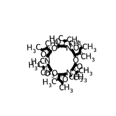 CC[C@@H](C)[C@H]1OC(=O)[C@H](C(C)C)N(C)C(=O)[C@@H]([C@H](C)CC)OC(=O)[C@H](C(C)C)N(C)C(=O)[C@@H]([C@H](C)CC)OC(=O)[C@H](C(C)C)N(C)C1=O